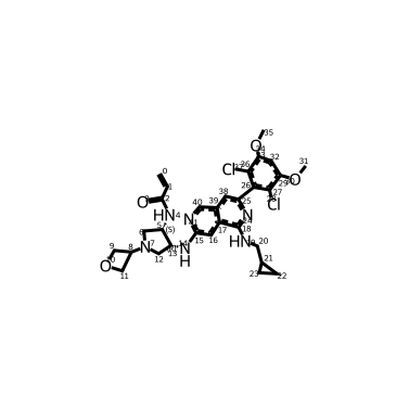 C=CC(=O)N[C@H]1CN(C2COC2)C[C@H]1Nc1cc2c(NCC3CC3)nc(-c3c(Cl)c(OC)cc(OC)c3Cl)cc2cn1